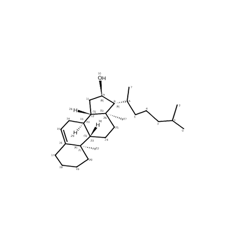 CC(C)CCCC(C)[C@H]1[C@H](O)C[C@H]2[C@@H]3CC=C4CCCC[C@]4(C)[C@H]3CC[C@@]21C